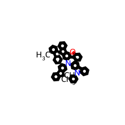 Cc1cccc2c1C1C=CC=CC1[C@@]21c2ccccc2-c2c1cc(N(c1ccc3c(c1)C(C)(C)c1ccccc1-3)c1ccc3c4ccccc4n(-c4ccccc4)c3c1)c1c2oc2ccccc21